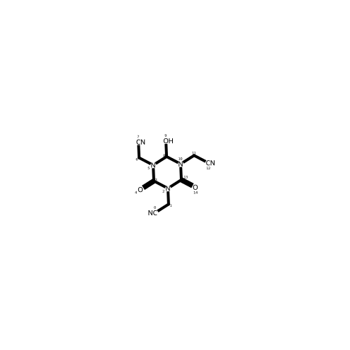 N#CCN1C(=O)N(CC#N)C(O)N(CC#N)C1=O